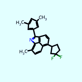 Cc1cc(C)cc(C2=Nc3c(C)ccc4c(C5CCC(F)(F)C5)ccc2c34)c1